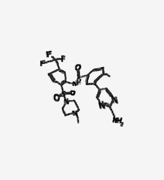 Cc1ccc(C(=O)Nc2cc(C(F)(F)F)ccc2S(=O)(=O)N2CCN(C)CC2)cc1-c1cnc(N)nc1